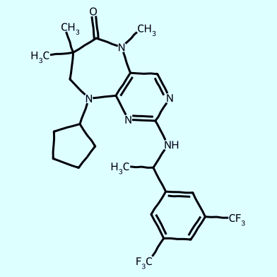 CC(Nc1ncc2c(n1)N(C1CCCC1)CC(C)(C)C(=O)N2C)c1cc(C(F)(F)F)cc(C(F)(F)F)c1